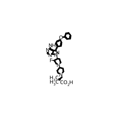 CC(C)(CN1CCC(N2CC[C@H](n3nc(-c4ccc(Oc5ccccc5)cc4)c4c(N)ncnc43)[C@H](F)C2)CC1)C(=O)O